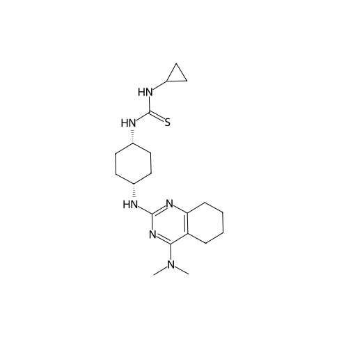 CN(C)c1nc(N[C@H]2CC[C@@H](NC(=S)NC3CC3)CC2)nc2c1CCCC2